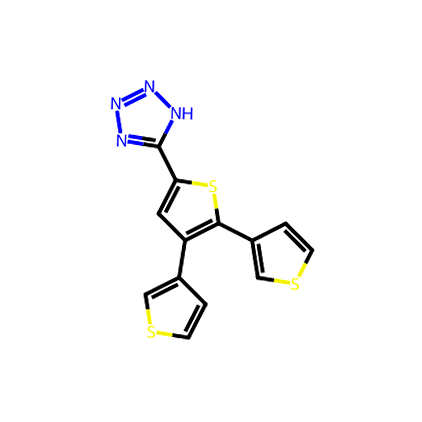 c1cc(-c2cc(-c3nnn[nH]3)sc2-c2ccsc2)cs1